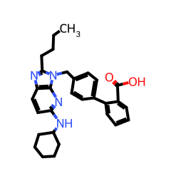 CCCCc1nc2ccc(NC3CCCCC3)nc2n1Cc1ccc(-c2ccccc2C(=O)O)cc1